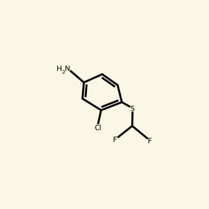 Nc1ccc(SC(F)F)c(Cl)c1